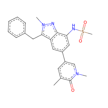 Cc1cc(-c2cc(NS(C)(=O)=O)c3nn(C)c(Cc4ccccc4)c3c2)cn(C)c1=O